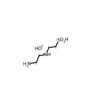 Cl.NCCNCCS(=O)(=O)O